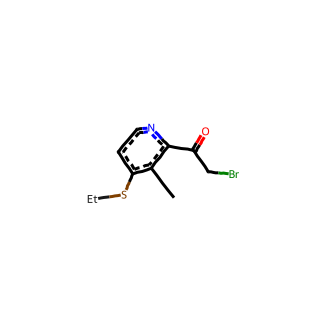 CCSc1ccnc(C(=O)CBr)c1C